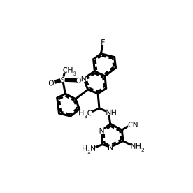 CC(Nc1nc(N)nc(N)c1C#N)c1cc2ccc(F)cc2nc1-c1ccccc1S(C)(=O)=O